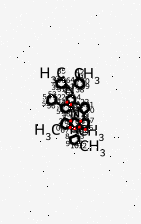 Cc1cccc(N(c2cccc(C)c2)c2cccc(-c3cccc(-c4cccc(N(c5cccc(C)c5)c5cccc(C)c5)c4)c3N(c3ccc(-c4ccccc4)cc3)c3cccc(C)c3)c2)c1